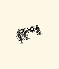 CC(NC(O)C1CC(O)CN1C(=O)C(C(C)C)n1cc(C(C)(C)C)cn1)c1ccc(-c2scnc2CO)cc1